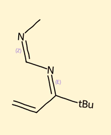 C=C/C(=N\C=N/C)C(C)(C)C